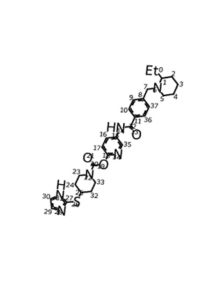 CCC1CCCCN1Cc1ccc(C(=O)Nc2ccc(OC(=O)N3CCC(Sc4ncc[nH]4)CC3)nc2)cc1